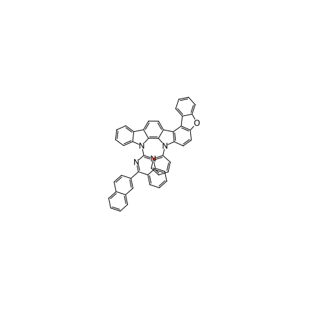 c1ccc(-n2c3ccc4oc5ccccc5c4c3c3ccc4c5ccccc5n(-c5nc(-c6ccc7ccccc7c6)c6ccccc6n5)c4c32)cc1